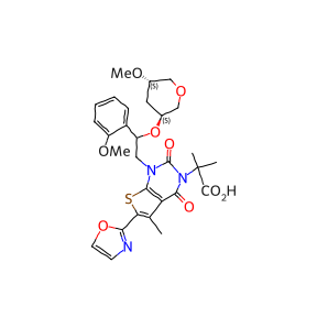 COc1ccccc1C(Cn1c(=O)n(C(C)(C)C(=O)O)c(=O)c2c(C)c(-c3ncco3)sc21)O[C@@H]1COC[C@@H](OC)C1